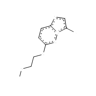 CC(C)NCCNc1ccc2ncc(Br)n2n1